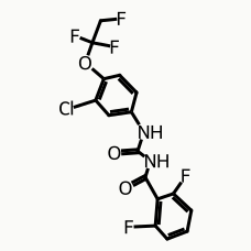 O=C(NC(=O)c1c(F)cccc1F)Nc1ccc(OC(F)(F)CF)c(Cl)c1